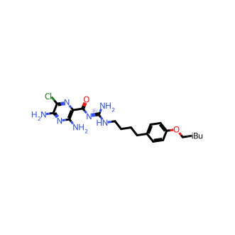 CCC(C)COc1ccc(CCCCN/C(N)=N/C(=O)c2nc(Cl)c(N)nc2N)cc1